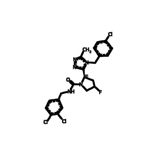 Cc1nnc([C@H]2CC(F)CN2C(=O)NCc2ccc(Cl)c(Cl)c2)n1Cc1ccc(Cl)cc1